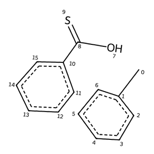 Cc1ccccc1.OC(=S)c1ccccc1